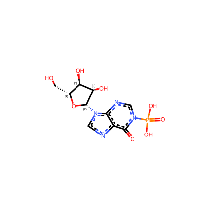 O=c1c2ncn([C@@H]3O[C@H](CO)[C@@H](O)[C@H]3O)c2ncn1P(=O)(O)O